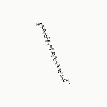 C=COCCOCCOCCOCCOCCOCCOCCOCCOCCO